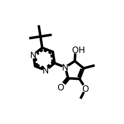 COC1=C(C)C(O)N(c2cc(C(C)(C)C)ncn2)C1=O